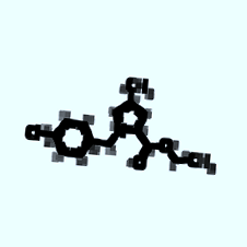 CCOC(=O)c1cc(C)cn1Cc1ccc(Cl)cc1